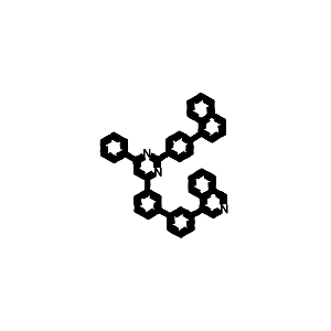 c1ccc(-c2cc(-c3cccc(-c4cccc(-c5cncc6ccccc56)c4)c3)nc(-c3ccc(-c4cccc5ccccc45)cc3)n2)cc1